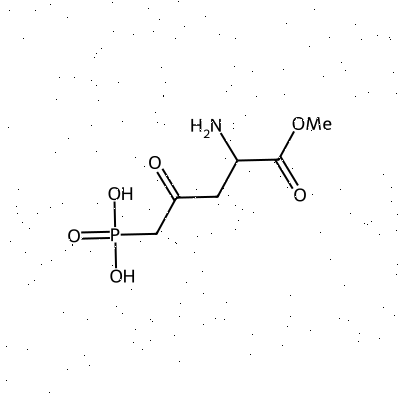 COC(=O)C(N)CC(=O)CP(=O)(O)O